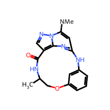 CNc1cc2nc3c(cnn13)C(=O)NC(C)COc1cccc(c1)N2